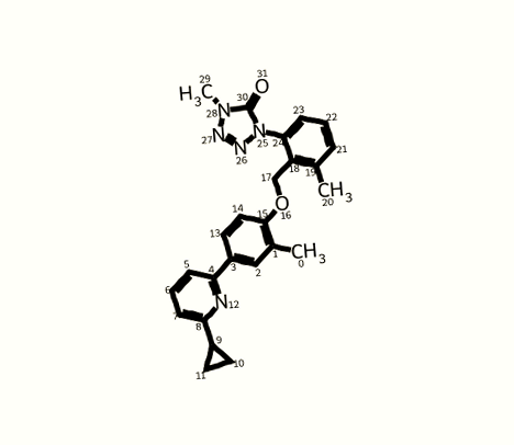 Cc1cc(-c2cccc(C3CC3)n2)ccc1OCc1c(C)cccc1-n1nnn(C)c1=O